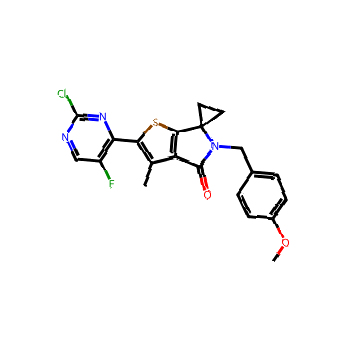 COc1ccc(CN2C(=O)c3c(sc(-c4nc(Cl)ncc4F)c3C)C23CC3)cc1